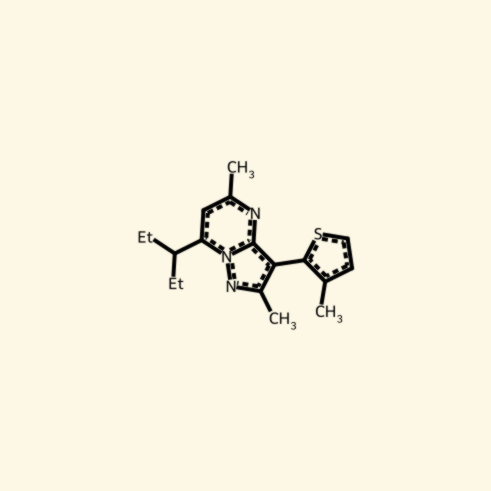 CCC(CC)c1cc(C)nc2c(-c3sccc3C)c(C)nn12